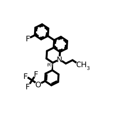 CCCN1c2cccc(-c3cccc(F)c3)c2CC[C@@H]1C1C=C(OC(F)(F)F)C=CC1